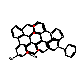 CC(C)(C)c1cc(-c2cccc3cccc(-c4ccccc4N(c4ccc(-c5ccccc5)cc4)c4ccccc4-c4ccccc4-c4ccccc4-c4ccccc4)c23)cc(C(C)(C)C)c1